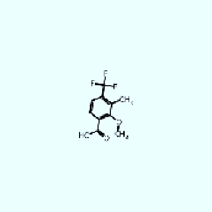 COc1c(C(=O)O)ccc(C(F)(F)F)c1C